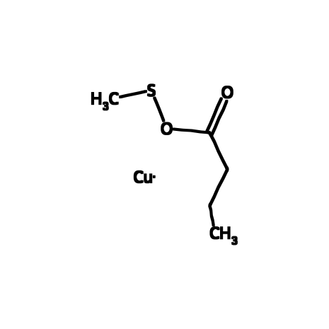 CCCC(=O)OSC.[Cu]